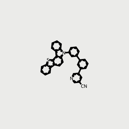 N#Cc1cncc(-c2cccc(-c3cccc(-n4c5ccccc5c5c6sc7ccccc7c6ccc54)c3)c2)c1